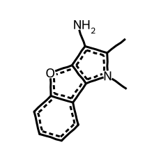 Cc1c(N)c2oc3ccccc3c2n1C